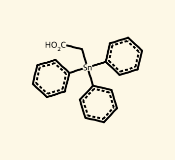 O=C(O)[CH2][Sn]([c]1ccccc1)([c]1ccccc1)[c]1ccccc1